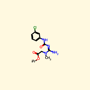 CC(C)OC(=O)CN(C)C(N)=NC(=O)Nc1cccc(Cl)c1